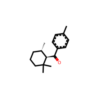 Cc1ccc(C(=O)[C@@H]2[C@@H](C)CCCC2(C)C)cc1